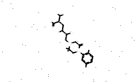 CC(C)C(CC(O)C(N)CN1CC(=O)N(c2cc(Cl)ccc2F)CC1(C)C)C(=O)O